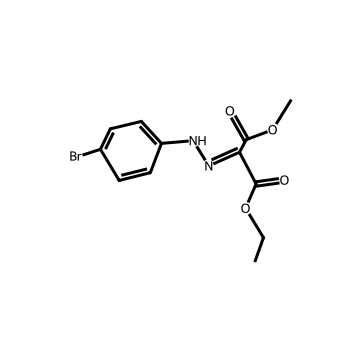 CCOC(=O)/C(=N/Nc1ccc(Br)cc1)C(=O)OC